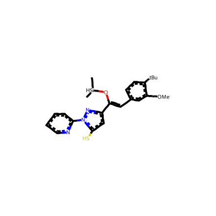 COc1cc(C=C(O[SiH](C)C)c2cc(S)n(-c3ccccn3)n2)ccc1C(C)(C)C